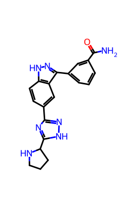 NC(=O)c1cccc(-c2n[nH]c3ccc(-c4n[nH]c(C5CCCN5)n4)cc23)c1